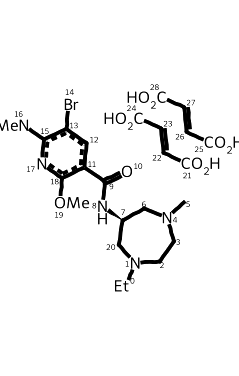 CCN1CCN(C)C[C@H](NC(=O)c2cc(Br)c(NC)nc2OC)C1.O=C(O)C=CC(=O)O.O=C(O)C=CC(=O)O